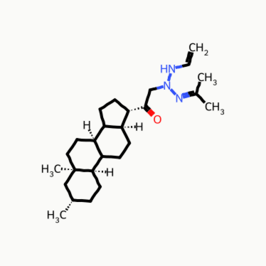 C=CNN(CC(=O)[C@H]1CCC2[C@@H]3CC[C@]4(C)C[C@@H](C)CC[C@@H]4C3CC[C@@H]21)N=C(C)C